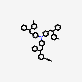 CC#Cc1cccc(C(=Cc2ccc(N(c3ccc(C=C(c4ccccc4)c4cccc(C)c4)cc3)c3ccc(C=C(c4ccccc4)c4cccc(C)c4)cc3)cc2)c2ccccc2)c1